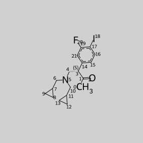 CC(=O)[C@H](CN(CC1CC1)CC1CC1)c1ccc(I)c(F)c1